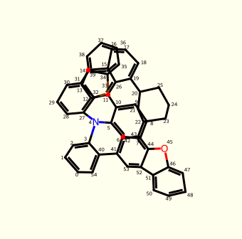 c1ccc(N(c2ccccc2-c2cccc3cccc(C4CCCCC4)c23)c2cccc3c2sc2ccccc23)c(-c2ccc3oc4ccccc4c3c2)c1